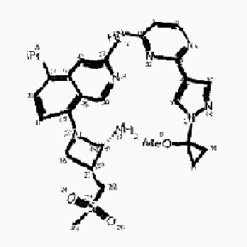 COC1(n2cc(-c3nccc(Nc4cc5c(C(C)C)ccc(N6C[C@H](CS(C)(=O)=O)[C@H]6N)c5cn4)n3)cn2)CC1